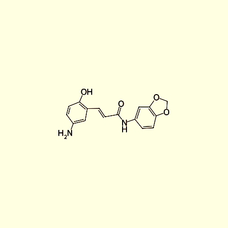 Nc1ccc(O)c(/C=C/C(=O)Nc2ccc3c(c2)OCO3)c1